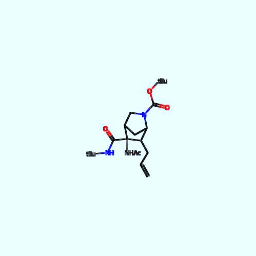 C=CCC1C2CC(CN2C(=O)OC(C)(C)C)C1(NC(C)=O)C(=O)NC(C)(C)C